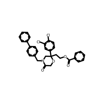 O=C(OCCC1(c2ccc(Cl)c(Cl)c2)CN(Cc2ccc(-c3ccccc3)cc2)C(=O)CO1)c1ccccc1